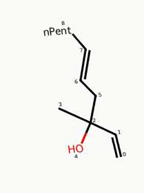 C=CC(C)(O)CC=CCCCCC